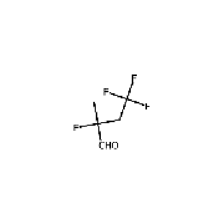 CC(F)(C=O)CC(F)(F)F